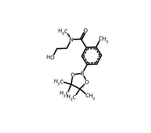 Cc1ccc(B2OC(C)(C)C(C)(C)O2)cc1C(=O)N(C)CCO